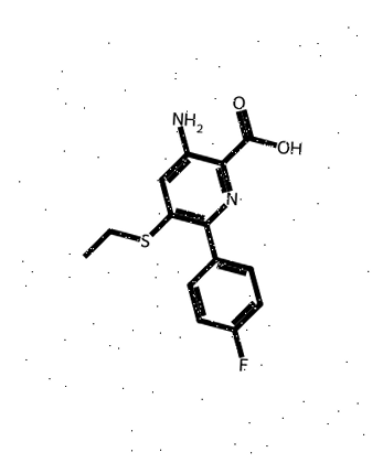 CCSc1cc(N)c(C(=O)O)nc1-c1ccc(F)cc1